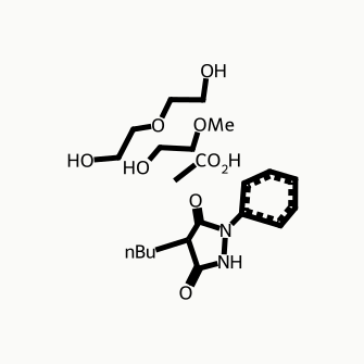 CC(=O)O.CCCCC1C(=O)NN(c2ccccc2)C1=O.COCCO.OCCOCCO